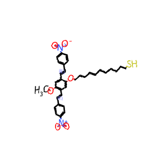 COc1cc(/C=C/c2ccc([N+](=O)[O-])cc2)c(OCCCCCCCCCCCS)cc1/C=C/c1ccc([N+](=O)[O-])cc1